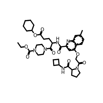 CCOC(=O)N1CCN(C(=O)C(CCC(=O)OC2CCCCC2)NC(=O)c2cc(OCC(=O)N3CCCC3C(=O)NC3CCC3)c3ccc(C)cc3n2)CC1